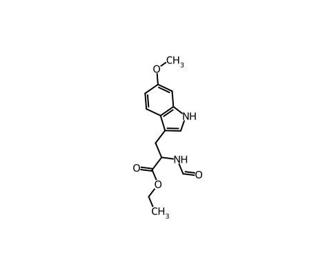 CCOC(=O)C(Cc1c[nH]c2cc(OC)ccc12)NC=O